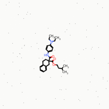 CCN(CC)c1ccc(NC(=O)C2(C(=O)OCCC(C)C)CCc3ccccc3C2)cc1